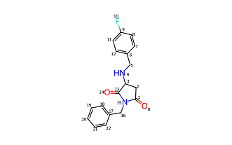 O=C1CC(NCc2ccc(F)cc2)C(=O)N1Cc1ccccc1